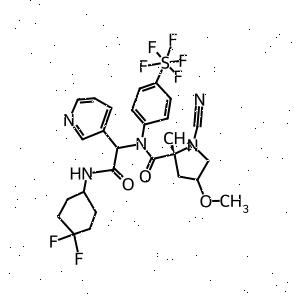 COC1CN(C#N)[C@@](C)(C(=O)N(c2ccc(S(F)(F)(F)(F)F)cc2)C(C(=O)NC2CCC(F)(F)CC2)c2cccnc2)C1